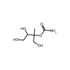 CC(CO)(OC(N)=O)C(O)CO